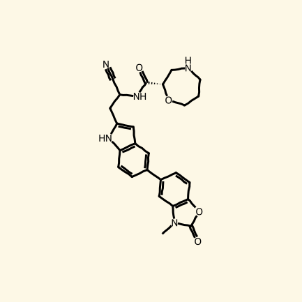 Cn1c(=O)oc2ccc(-c3ccc4[nH]c(CC(C#N)NC(=O)[C@@H]5CNCCCO5)cc4c3)cc21